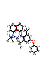 CC(C)c1cc(Oc2ccccc2)cc(C(C)C)c1N(C(=S)N(c1ccccc1)C(C)(C)C)c1ccccc1